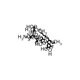 CCCCCN(CC1=C(C(=O)O)N2C(=O)[C@@H](NC(=O)/C(=N\OC(C)(C)C(=O)O)c3csc(N)n3)[C@H]2SC1)Cc1cn(CC)c2c(F)c(O)c(O)cc2c1=O